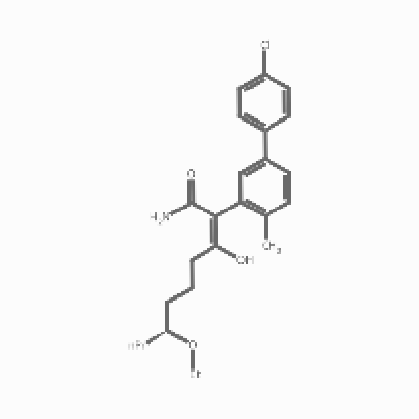 CCC[C@@H](CCC/C(O)=C(\C(N)=O)c1cc(-c2ccc(Cl)cc2)ccc1C)OCC